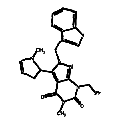 CC(C)Cn1c(=O)n(C)c(=O)c2c(C3CC=CN3C)n(Cc3csc4ccccc34)nc21